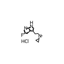 CN(CCc1c[nH]c2ncc(F)cc12)C1CC1.Cl